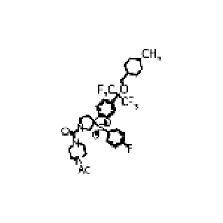 CC(=O)N1CCN(C(=O)N2CC[C@](c3ccc(C(OCC4CCC(C)CC4)(C(F)(F)F)C(F)(F)F)cc3)(S(=O)(=O)c3ccc(F)cc3)C2)CC1